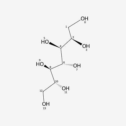 OC[C@@H](O)[C@H](O)[C@H](O)[C@H](O)[C@H](O)CO